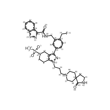 CS(=O)(=O)N1CCc2c(c(-c3ccc(CF)c(CNC(=O)c4nsc5ccccc45)c3)nn2CCCN2CCC3(CCNC3=O)CC2)C1